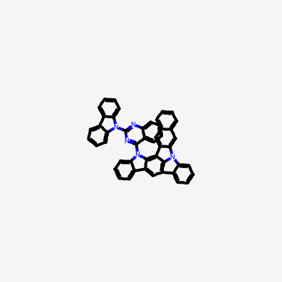 c1ccc2cc3c(cc2c1)c1c2c(cc4c5ccccc5n3c41)c1ccccc1n2-c1nc(-n2c3ccccc3c3ccccc32)nc2ccccc12